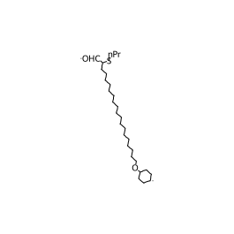 CCCSC([C]=O)CCCCCCCCCCCCCCCCCCOC1CC[CH]CC1